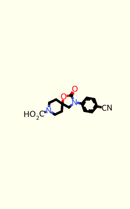 N#Cc1ccc(N2CC3(CCN(C(=O)O)CC3)OC2=O)cc1